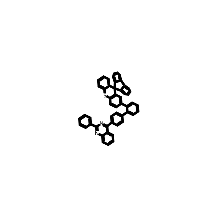 c1ccc(-c2nc(-c3ccc(-c4ccccc4-c4ccc5c(c4)C4(c6ccccc6S5)c5ccccc5-c5ccccc54)cc3)c3ccccc3n2)cc1